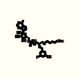 CCCCCCCCCCCCCCOC[C@H](COP(=O)(O)OC[C@H]1O[C@@](C#N)(c2ccc3c(C)ncnn23)[C@H](O)[C@@H]1O)OCc1cc(F)cc(C#N)c1